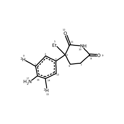 [2H]c1cc(C2(CC)CCC(=O)NC2=O)cc([2H])c1N